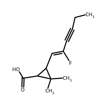 CCC#CC(F)=CC1C(C(=O)O)C1(C)C